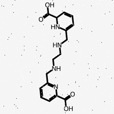 O=C(O)c1cccc(CNCCNCC2=CC=CC(C(=O)O)N2)n1